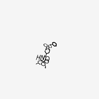 CCOC(=O)[C@H](CC(C)C)NC(=O)C1CCN(C(=O)OCc2ccccc2)CC1